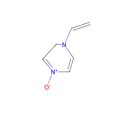 C=CN1C=C[N+]([O-])=CC1